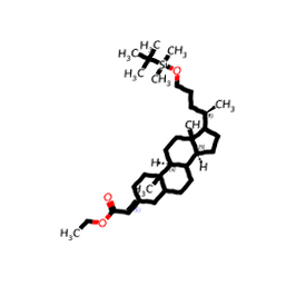 CCOC(=O)/C=C1\CCC2(C)C(CCC3[C@@H]2CCC2(C)C([C@H](C)CCCO[Si](C)(C)C(C)(C)C)CC[C@@H]32)C1